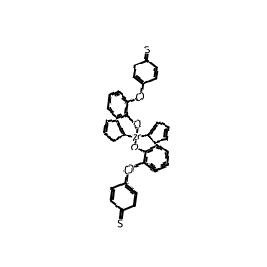 S=C1C=CC(Oc2ccccc2[O][Zr]([O]c2ccccc2OC2=CCC(=S)C=C2)([C]2=CC=CC2)[C]2=CC=CC2)=CC1